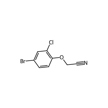 N#CCOc1ccc(Br)cc1Cl